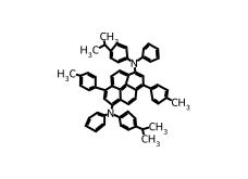 Cc1ccc(-c2cc(N(c3ccccc3)c3ccc(C(C)C)cc3)c3ccc4c(-c5ccc(C)cc5)cc(N(c5ccccc5)c5ccc(C(C)C)cc5)c5ccc2c3c45)cc1